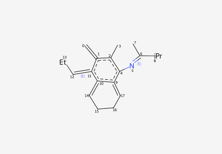 C=c1c(C)c(/N=C(\C)C(C)C)c2c(/c1=C/CC)=CCCC=2